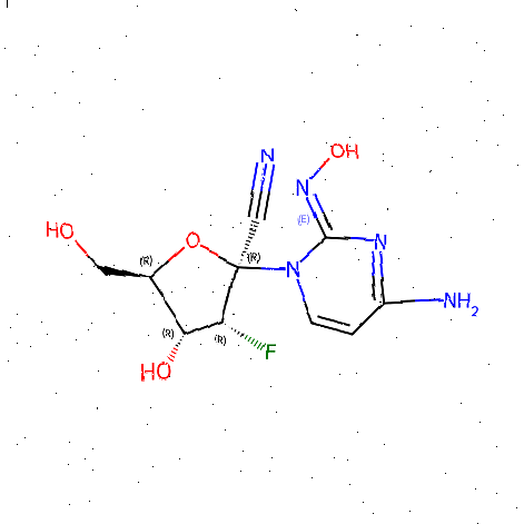 N#C[C@@]1(n2ccc(N)n/c2=N\O)O[C@H](CO)[C@@H](O)[C@H]1F